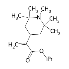 C=C(C(=O)OC(C)C)C1CC(C)(C)N(C)C(C)(C)C1